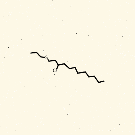 CCCCCCCCCC(Cl)CCSCCC